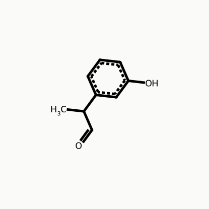 CC(C=O)c1cccc(O)c1